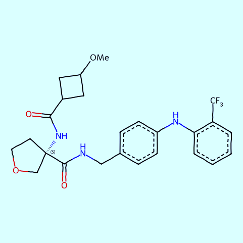 COC1CC(C(=O)N[C@@]2(C(=O)NCc3ccc(Nc4ccccc4C(F)(F)F)cc3)CCOC2)C1